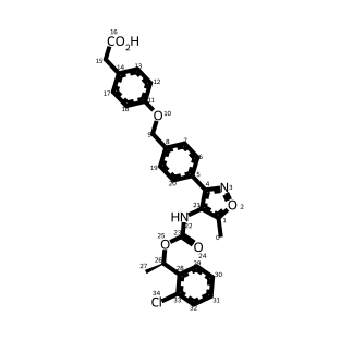 Cc1onc(-c2ccc(COc3ccc(CC(=O)O)cc3)cc2)c1NC(=O)O[C@H](C)c1ccccc1Cl